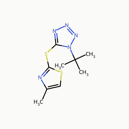 Cc1csc(Sc2nnnn2C(C)(C)C)n1